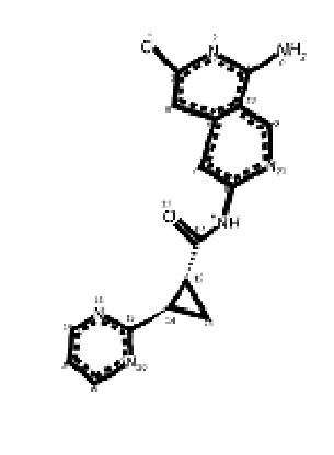 Nc1nc(Cl)cc2cc(NC(=O)[C@@H]3C[C@H]3c3ncccn3)ncc12